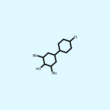 CCC1CCC(C2CC(C(C)(C)C)C(O)C(C(C)(C)C)C2)CC1